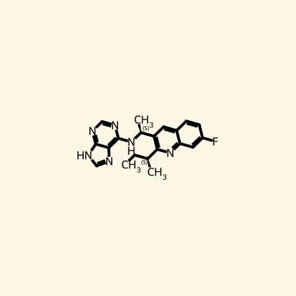 CC[C@H](C)c1nc2cc(F)ccc2cc1[C@H](C)Nc1ncnc2[nH]cnc12